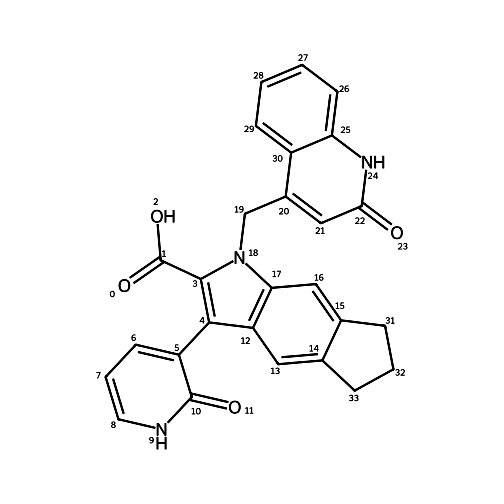 O=C(O)c1c(-c2ccc[nH]c2=O)c2cc3c(cc2n1Cc1cc(=O)[nH]c2ccccc12)CCC3